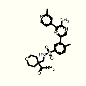 Cc1cc(-c2nc(-c3cc(S(=O)(=O)NCC4(C(N)=O)CCOCC4)ccc3C)cnc2N)ccn1